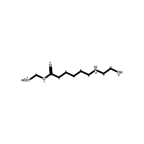 CCCCCCCCCOC(=O)CCCCCNCCO